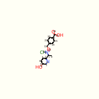 CC(c1ccc(O)cn1)=[N+](Cl)OCc1ccc(C(=O)O)cc1